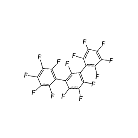 Fc1c(F)c(F)c(-c2c(F)c(F)c(F)c(-c3c(F)c(F)c(F)c(F)c3F)c2F)c(F)c1F